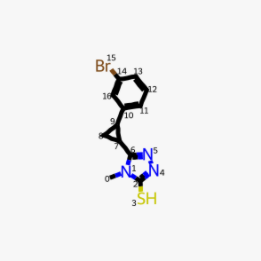 Cn1c(S)nnc1C1CC1c1cccc(Br)c1